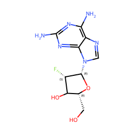 Nc1nc(N)c2ncn([C@@H]3O[C@H](CO)C(O)[C@@H]3F)c2n1